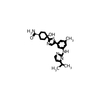 Cc1cc(Nc2nccc(C(C)C)n2)cc(-c2cnc([C@]3(O)CC[C@@H](C(N)=O)CC3)s2)c1